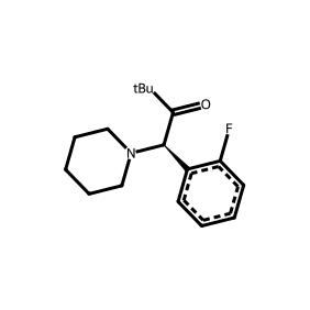 CC(C)(C)C(=O)[C@@H](c1ccccc1F)N1CCCCC1